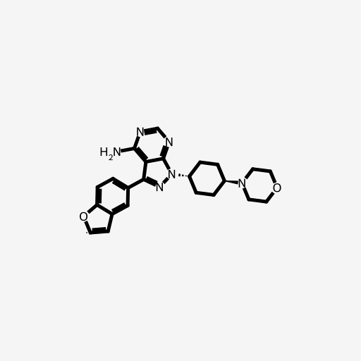 Nc1ncnc2c1c(-c1ccc3o[c]cc3c1)nn2[C@H]1CC[C@H](N2CCOCC2)CC1